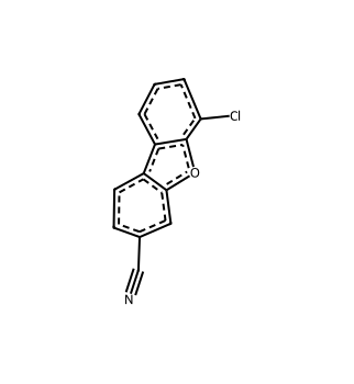 N#Cc1ccc2c(c1)oc1c(Cl)cccc12